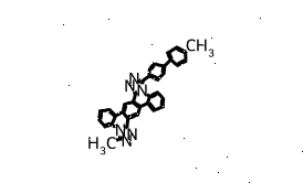 Cc1ccc(-c2ccc(-c3nnc4c5cc6c7ccccc7n7c(C)nnc7c6cc5c5ccccc5n34)cc2)cc1